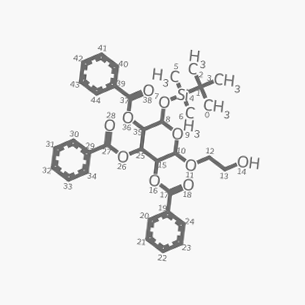 CC(C)(C)[Si](C)(C)OC1OC(OCCO)C(OC(=O)c2ccccc2)C(OC(=O)c2ccccc2)C1OC(=O)c1ccccc1